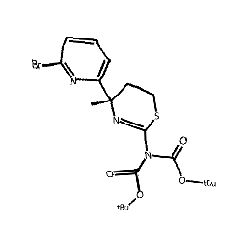 CC(C)(C)OC(=O)N(C(=O)OC(C)(C)C)C1=N[C@](C)(c2cccc(Br)n2)CCS1